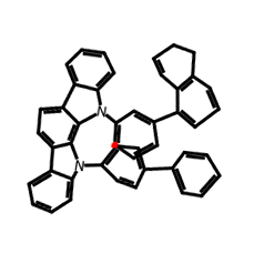 C1=Cc2c(cccc2-c2cccc(-n3c4ccccc4c4ccc5c6ccccc6n(-c6ccc(-c7ccccc7)cc6)c5c43)c2)CC1